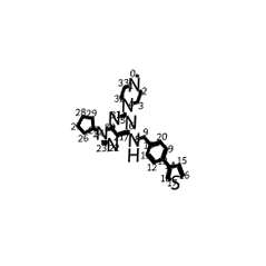 CN1CCN(c2nc(NCc3ccc(-c4ccsc4)cc3)c3ncn(C4CCCC4)c3n2)CC1